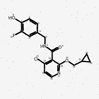 O=C(NCc1ccc(O)c(F)c1)c1c(Cl)ccnc1OCC1CC1